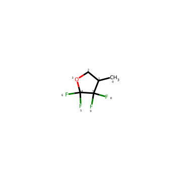 CC1COC(F)(F)C1(F)F